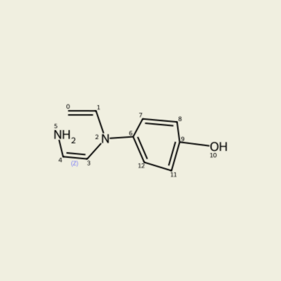 C=CN(/C=C\N)c1ccc(O)cc1